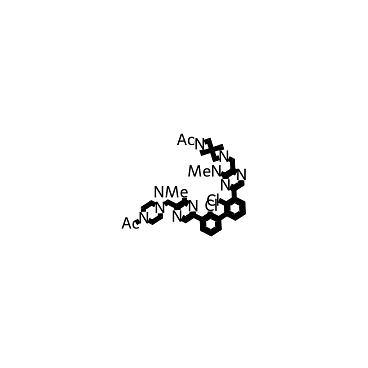 CNc1nc(-c2cccc(-c3cccc(-c4cnc(CN5CC6(C5)CN(C(C)=O)C6)c(NC)n4)c3Cl)c2Cl)cnc1CN1CCN(C(C)=O)CC1